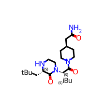 CC[C@H](C)[C@@H](C(=O)N1CCC(CC(N)=O)CC1)N1CCN[C@@H](CC(C)(C)C)C1=O